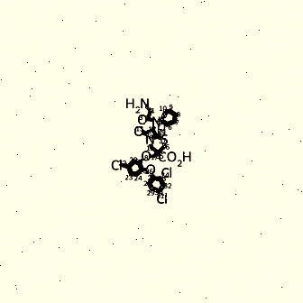 NCC(=O)N(c1ccccc1)C1C(=O)N2CC(COc3cc(Cl)ccc3Oc3ccc(Cl)cc3Cl)(C(=O)O)CS[C@H]12